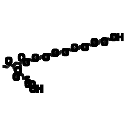 CCC(=O)C(COC(=O)CCSOOO)CC(C)C(=O)OCCOCCOCCOCCOCCOCCOCCOCCOCCO